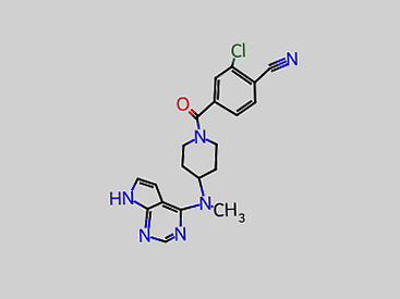 CN(c1ncnc2[nH]ccc12)C1CCN(C(=O)c2ccc(C#N)c(Cl)c2)CC1